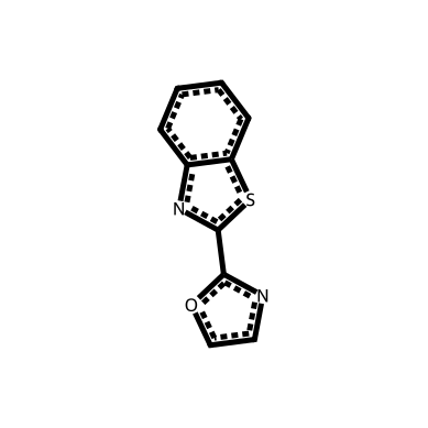 c1ccc2sc(-c3ncco3)nc2c1